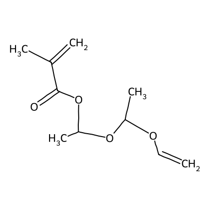 C=COC(C)OC(C)OC(=O)C(=C)C